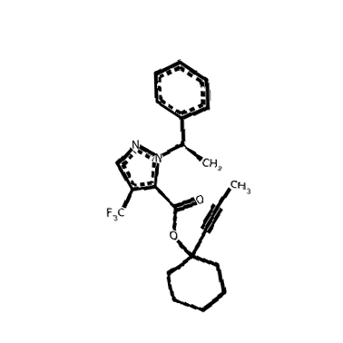 CC#CC1(OC(=O)c2c(C(F)(F)F)cnn2[C@H](C)c2ccccc2)CCCCC1